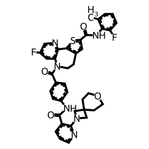 Cc1cccc(F)c1NC(=O)c1cc2c(s1)-c1ncc(F)cc1N(C(=O)c1ccc(NC(=O)c3cccnc3N3CC4(CCOCC4)C3)cc1)CC2